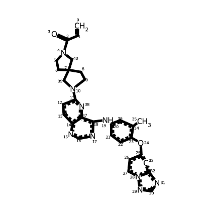 C=CC(=O)N1CCC2(CCN(c3ccc4ncnc(Nc5ccc(Oc6ccn7ncnc7c6)c(C)c5)c4n3)C2)C1